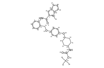 Cn1c(C(=O)Nc2ccccc2COc2ccc(OC3CCC(NC(=O)OC(C)(C)C)CC3)cc2)cc2sccc21